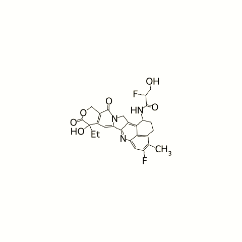 CCC1(O)C(=O)OCc2c1cc1n(c2=O)Cc2c-1nc1cc(F)c(C)c3c1c2C(NC(=O)C(F)CO)CC3